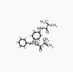 C=C(C)C(=O)Nc1ccc(Nc2ccccc2)cc1.C=C(C)C(N)=O